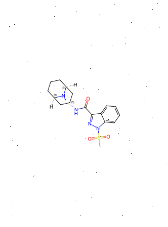 CN1[C@@H]2CCC[C@H]1C[C@H](NC(=O)c1nn(S(C)(=O)=O)c3ccccc13)C2